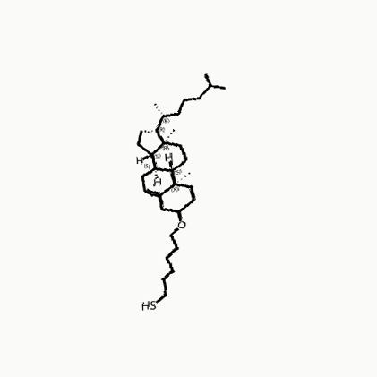 CC(C)CCC[C@@H](C)[C@H]1CC[C@H]2[C@@H]3CC=C4CC(OCCCCCCS)CC[C@]4(C)[C@H]3CC[C@]12C